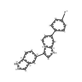 Fc1ccc(-c2ccn3c(-c4ccc5[nH]ncc5c4)cnc3c2)cc1